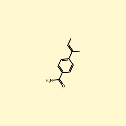 CC=C(C)c1ccc(C(N)=O)cc1